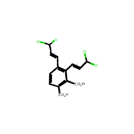 O=C(O)c1ccc(/C=C/C(Cl)Cl)c(/C=C/C(Cl)Cl)c1C(=O)O